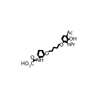 CCCc1c(OCCCCCOc2cccc(NC(=O)C(=O)O)c2)ccc(C(C)=O)c1O